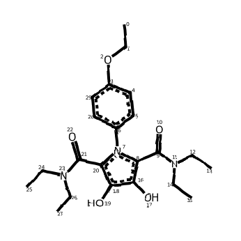 CCOc1ccc(-n2c(C(=O)N(CC)CC)c(O)c(O)c2C(=O)N(CC)CC)cc1